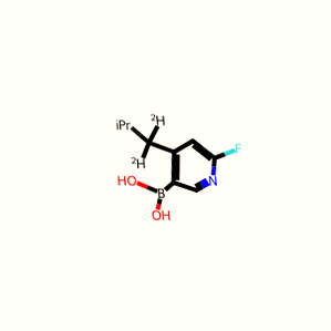 [2H]C([2H])(c1cc(F)ncc1B(O)O)C(C)C